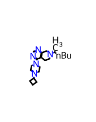 CCCCC(C)N1CCc2c(ncnc2N2CCN(C3CCC3)CC2)C1